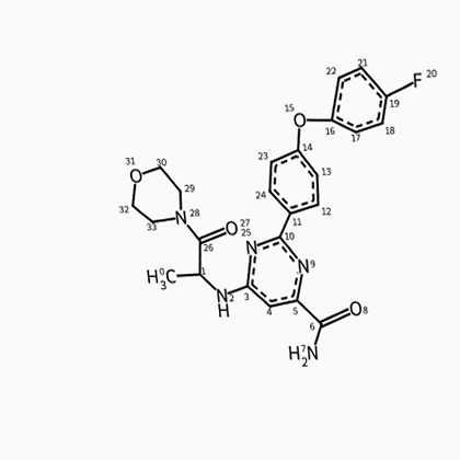 CC(Nc1cc(C(N)=O)nc(-c2ccc(Oc3ccc(F)cc3)cc2)n1)C(=O)N1CCOCC1